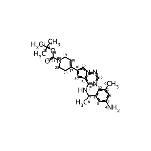 Cc1cc(N)cc([C@@H](C)Nc2ncnn3cc(C4=CCN(C(=O)OC(C)(C)C)CC4)cc23)c1